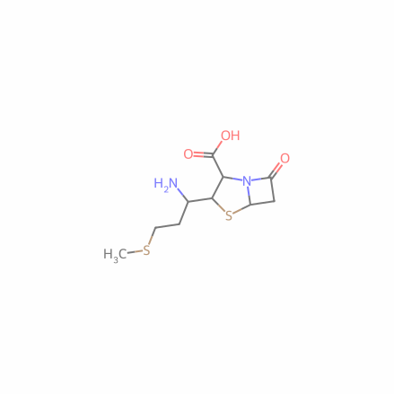 CSCCC(N)C1SC2CC(=O)N2C1C(=O)O